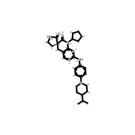 CC(C)C1CCN(c2ccc(Nc3ncc4c(n3)N(C3CCCC3)C(=O)[C@]3(CCNC3=O)C4)cc2)CC1